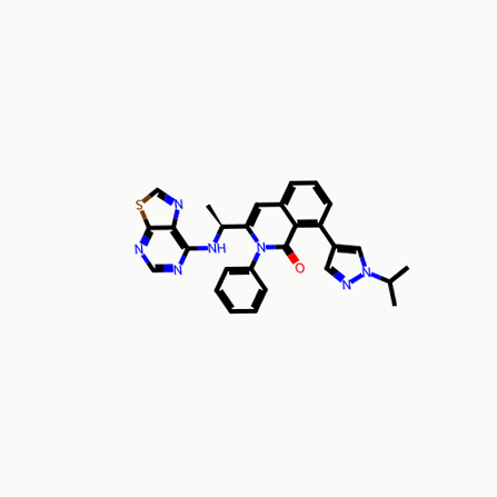 CC(C)n1cc(-c2cccc3cc([C@H](C)Nc4ncnc5scnc45)n(-c4ccccc4)c(=O)c23)cn1